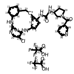 O=C(Nc1ccc2cc1CCc1cccc(c1)Nc1ncc(Cl)c(n1)N2)N[C@H]1CCN(C(=O)c2cccnc2)C1.O=C(O)C(F)(F)F.O=C(O)C(F)(F)F